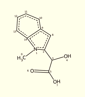 Cn1c(C(O)C(=O)O)cc2ccccc21